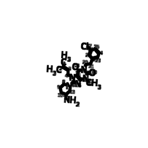 CC(C)=CCn1c(N2CCCC(N)C2)nc2c1c(=O)n(CCc1cccc(Cl)c1)c(=O)n2C